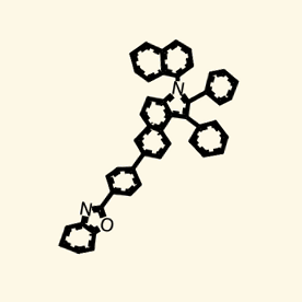 c1ccc(-c2c(-c3ccccc3)n(-c3cccc4ccccc34)c3ccc4cc(-c5ccc(-c6nc7ccccc7o6)cc5)ccc4c23)cc1